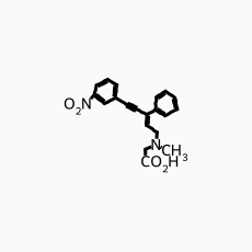 CN(CC=C(C#Cc1cccc([N+](=O)[O-])c1)c1ccccc1)CC(=O)O